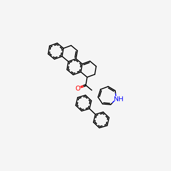 C1=CC=CNC=C1.CC(=O)C1CCC=c2c1ccc1c2=CCc2ccccc2-1.c1ccc(-c2ccccc2)cc1